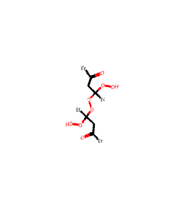 CCC(=O)CC(CC)(OO)OOC(CC)(CC(=O)CC)OO